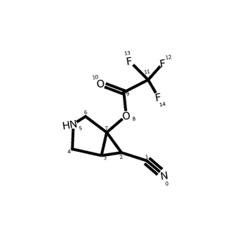 N#CC1C2CNCC12OC(=O)C(F)(F)F